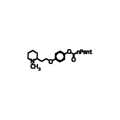 CCCCCC(=O)Oc1ccc(OCCC2CCCCN2C)cc1